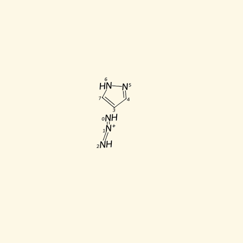 N=[N+]=N.c1cn[nH]c1